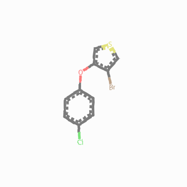 Clc1ccc(Oc2cscc2Br)cc1